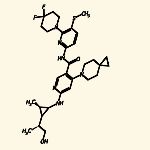 CSc1ccc(NC(=O)c2cnc(NC3C([C@@H](C)CO)[C@H]3C)cc2N2CCC3(CC2)CC3)nc1N1CCC(F)(F)CC1